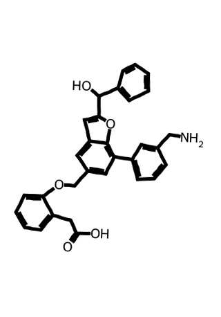 NCc1cccc(-c2cc(COc3ccccc3CC(=O)O)cc3cc(C(O)c4ccccc4)oc23)c1